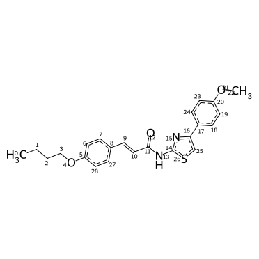 CCCCOc1ccc(/C=C/C(=O)Nc2nc(-c3ccc(OC)cc3)cs2)cc1